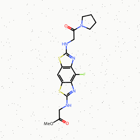 COC(=O)CNc1nc2c(F)c3nc(NCC(=O)N4CCCC4)sc3cc2s1